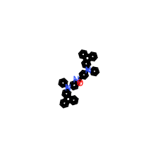 c1ccc(N(c2ccc(-c3nc4cc(N(c5ccccc5)c5ccc6c7ccccc7c7ccccc7c6c5)ccc4o3)cc2)c2ccc3c4ccccc4c4ccccc4c3c2)cc1